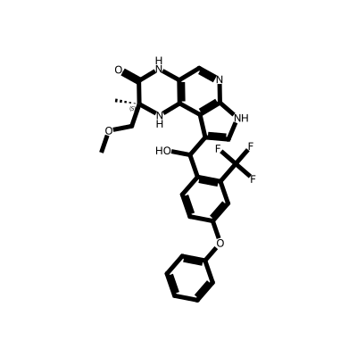 COC[C@]1(C)Nc2c(cnc3[nH]cc(C(O)c4ccc(Oc5ccccc5)cc4C(F)(F)F)c23)NC1=O